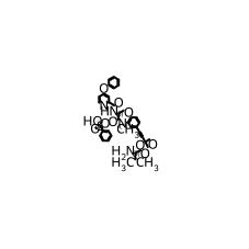 CC(C)[C@H](N)C(=O)OC1(C#Cc2ccc3c(c2)N(C)C(=O)[C@@H](NC(=O)c2cc(Oc4ccccc4)ccn2)CO3)COC1.O=S(=O)(O)c1ccccc1